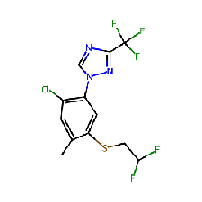 Cc1cc(Cl)c(-n2cnc(C(F)(F)F)n2)cc1SCC(F)F